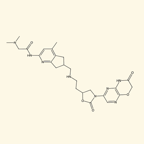 Cc1cc(NC(=O)CN(C)C)nc2c1CC(CNCCC1CN(c3cnc4c(n3)NC(=O)CO4)C(=O)O1)C2